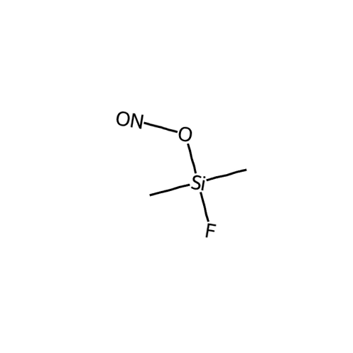 C[Si](C)(F)ON=O